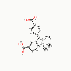 CC1C(c2ccc(C(=O)O)cc2)c2cc(C(=O)O)ccc2C1(C)C